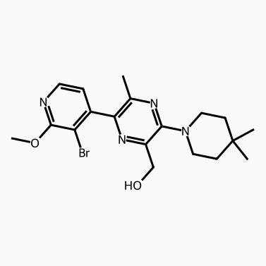 COc1nccc(-c2nc(CO)c(N3CCC(C)(C)CC3)nc2C)c1Br